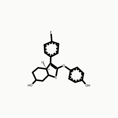 Oc1ccc(OC2=C(c3ccc(F)cc3)[C@@H]3CCC(O)CC3S2)cc1